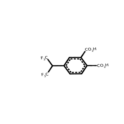 O=C(O)c1ccc(C(C(F)(F)F)C(F)(F)F)cc1C(=O)O